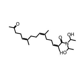 CC(=O)CCC=C(C)CCC=C(C)CCC=C(C)C(=O)N(C(C)O)C(C)O